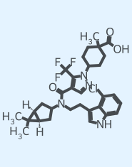 CC1(C(=O)O)CCC(n2ncc(C(=O)N(CCc3c[nH]c4cccc(Cl)c34)C3C[C@@H]4[C@H](C3)C4(C)C)c2C(F)(F)F)CC1